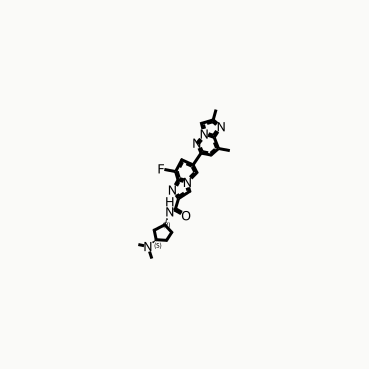 Cc1cn2nc(-c3cc(F)c4nc(C(=O)N[C@@H]5CC[C@H](N(C)C)C5)cn4c3)cc(C)c2n1